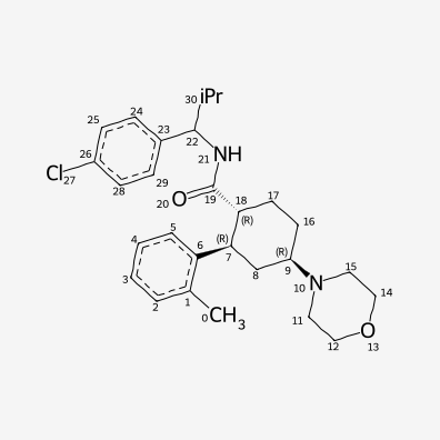 Cc1ccccc1[C@@H]1C[C@H](N2CCOCC2)CC[C@H]1C(=O)NC(c1ccc(Cl)cc1)C(C)C